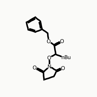 CCCCC(ON1C(=O)CCC1=O)C(=O)OCc1ccccc1